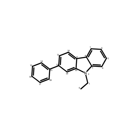 CCn1c2ccccc2c2ccc(-c3cc[c]cc3)cc21